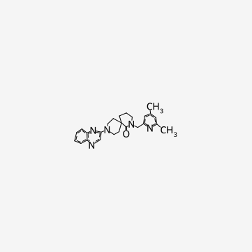 Cc1cc(C)nc(CN2CCCC3(CCN(c4cnc5ccccc5n4)CC3)C2=O)c1